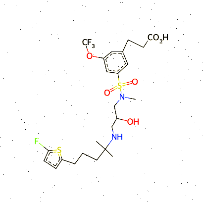 CN(CC(O)CNC(C)(C)CCCc1ccc(F)s1)S(=O)(=O)c1cc(CCC(=O)O)cc(OC(F)(F)F)c1